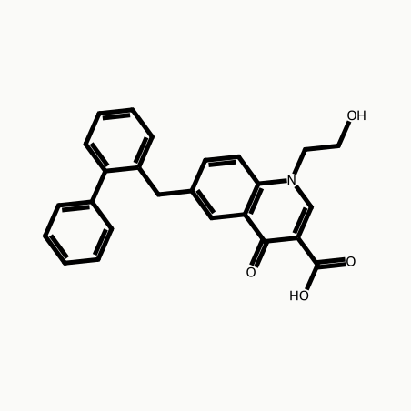 O=C(O)c1cn(CCO)c2ccc(Cc3ccccc3-c3ccccc3)cc2c1=O